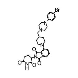 O=C1CCC(N2C(=O)c3cccc(N4CCC(CN5CCN(c6ccc(Br)cc6)CC5)CC4)c3C2=O)C(=O)N1